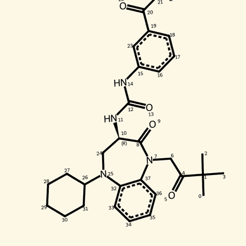 CC(C)(C)C(=O)CN1C(=O)[C@H](NC(=O)Nc2cccc(C(N)=O)c2)CN(C2CCCCC2)c2ccccc21